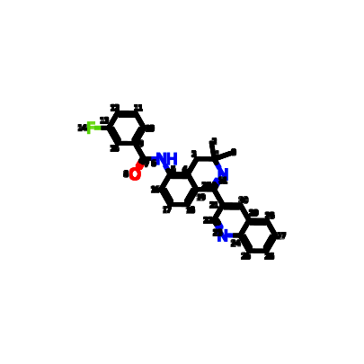 CC1(C)Cc2c(NC(=O)c3cccc(F)c3)cccc2C(c2cnc3ccccc3c2)=N1